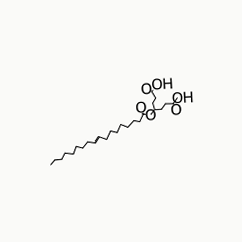 CCCCCCCCC=CCCCCCCCC(=O)OC(CCC(=O)O)CCC(=O)O